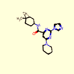 CC1(C)CCC(NC(=O)c2cc(N3CCCCC3)nc(-n3ccnc3)n2)CC1